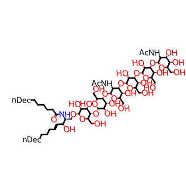 CCCCCCCCCCCCC/C=C/[C@@H](O)[C@H](CO[C@@H]1OC(CO)[C@@H](O[C@@H]2OC(CO)[C@H](O[C@@H]3OC(CO)[C@H](O)[C@H](O[C@@H]4OC(CO)[C@H](O)[C@H](O[C@H]5OC(CO)[C@H](O)[C@H](O[C@@H]6OC(CO)[C@H](O)[C@H](O)C6NC(C)=O)C5O)C4O)C3NC(C)=O)[C@H](O)C2O)[C@H](O)C1O)NC(=O)CCCCCCCCCCCCCCC